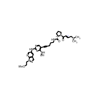 CCCNc1nc(Nc2cnc3c(cnn3CCOC)c2)ncc1C#CCCCNC(=O)[C@@H]1CCCN1C(=O)/C=C/CN(C)C